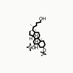 C[C@H](CCCO)[C@H]1CC[C@H]2[C@@H]3C[C@H](O[Si](C)(C)C)[C@@H]4C[C@H](O[Si](C)(C)C)CC[C@]4(C)[C@H]3CC[C@]12C